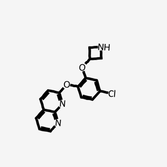 Clc1ccc(Oc2ccc3cccnc3n2)c(OC2CNC2)c1